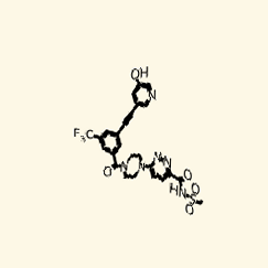 CS(=O)(=O)NC(=O)c1ccc(N2CCN(C(=O)c3cc(C#Cc4cncc(O)c4)cc(C(F)(F)F)c3)CC2)nn1